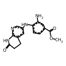 COC(=O)c1ccc(Nc2cnc3c(c2)CCC(=O)N3)c(N)c1